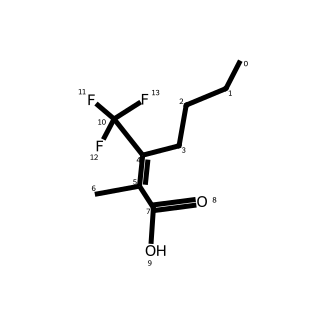 CCCCC(=C(C)C(=O)O)C(F)(F)F